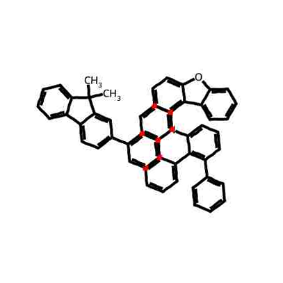 CC1(C)c2ccccc2-c2ccc(-c3cccc(N(c4cccc(-c5ccccc5)c4-c4ccccc4-c4ccccc4)c4cccc5oc6ccccc6c45)c3)cc21